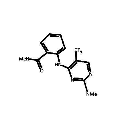 CNC(=O)c1ccccc1Nc1nc(NC)ncc1C(F)(F)F